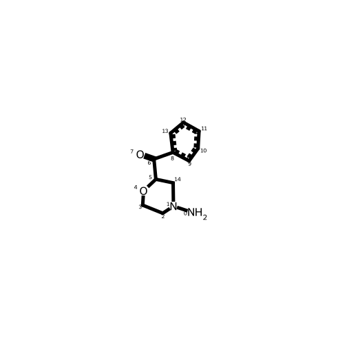 NN1CCOC(C(=O)c2ccccc2)C1